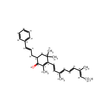 CC(C=CC1=C(C)C(=O)C(CC=Cc2ccccc2)CC1(C)C)=CC=CC(C)=CC(=O)O